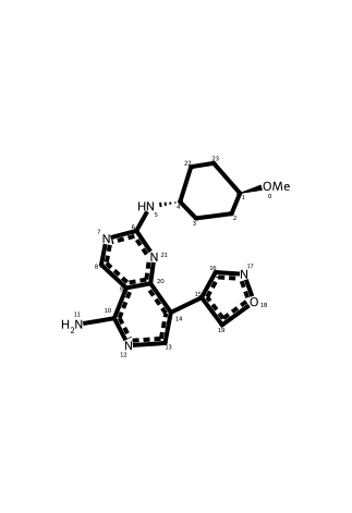 CO[C@H]1CC[C@H](Nc2ncc3c(N)ncc(-c4cnoc4)c3n2)CC1